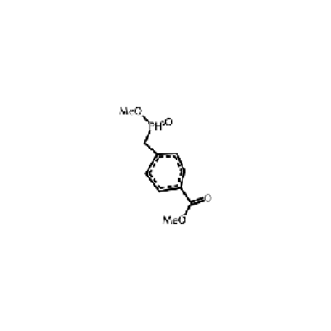 COC(=O)c1ccc(C[PH](=O)OC)cc1